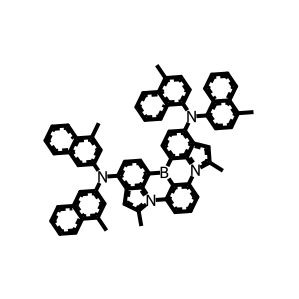 Cc1cc(N(c2cc(C)c3ccccc3c2)c2ccc3c4c2cc(C)n4-c2cccc4c2B3c2ccc(N(c3ccc(C)c5ccccc35)c3ccc(C)c5ccccc35)c3cc(C)n-4c23)cc2ccccc12